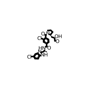 C[C@H](NC(=O)c1ccc(C(=O)N2CCC[C@H]2CC(O)C=O)c(Cl)c1)c1nc2cc(Cl)ccc2[nH]1